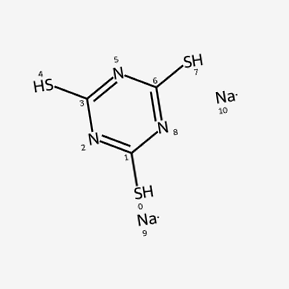 Sc1nc(S)nc(S)n1.[Na].[Na]